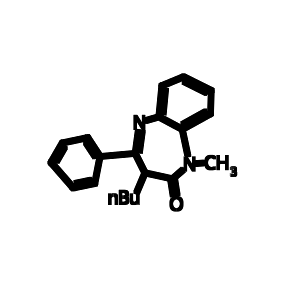 CCCCC1C(=O)N(C)c2ccccc2N=C1c1ccccc1